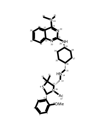 COc1ccccc1[C@@H]1SC(C)(C)[C@H](CNC[C@H]2CC[C@@H](Nc3nc(N(C)C)c4ccccc4n3)CC2)N1C(C)=O